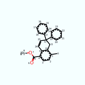 Cc1ccc(C(=O)OC(C)C)c2c1CC(c1ccccc1)(c1ccccc1)C=C2